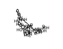 CCN(CC)CC(N(CCN(C)CC(=O)O)CC(=O)O)C1(CO)C=C(O)CN(C)C(Cc2ccc(Nc3nc(NCCCCCCCC(=O)NCCCC[C@H](NC(=O)N[C@@H](CCC(=O)O)C(=O)O)C(=O)O)nc(N4CCN(c5ccccc5)CC4)n3)cc2)C1